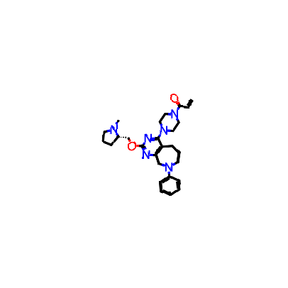 C=CC(=O)N1CCN(c2nc(OC[C@@H]3CCCN3C)nc3c2CCCN(c2ccccc2)C3)CC1